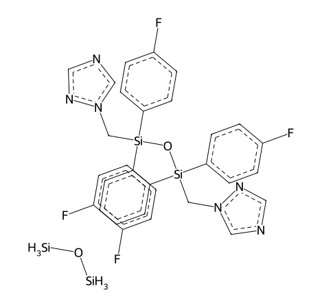 Fc1ccc([Si](Cn2cncn2)(O[Si](Cn2cncn2)(c2ccc(F)cc2)c2ccc(F)cc2)c2ccc(F)cc2)cc1.[SiH3]O[SiH3]